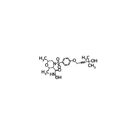 CC1CN(S(=O)(=O)c2ccc(OCC#CC(C)(C)O)cc2)C(C(=O)NO)C(C)O1